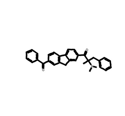 CN(C)C(C)(Cc1ccccc1)C(=O)c1ccc2c(c1)Cc1cc(C(=O)c3ccccc3)ccc1-2